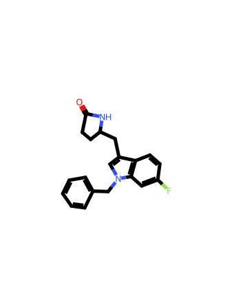 O=C1CCC(Cc2cn(Cc3ccccc3)c3cc(F)ccc23)N1